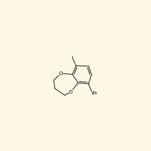 CC(C)c1ccc(I)c2c1OCCCO2